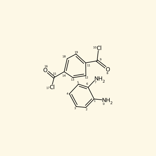 Nc1ccccc1N.O=C(Cl)c1ccc(C(=O)Cl)cc1